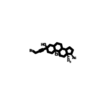 CC(=O)[C@H]1CCC2C3CCC4C[C@@](O)(C#CCBr)CC[C@]4(C)C3CC[C@@]21C